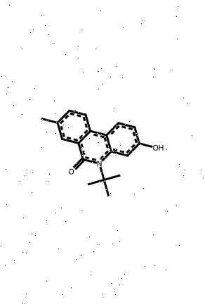 Cc1ccc2c(c1)c(=O)n(C(C)(C)C)c1cc(O)ccc21